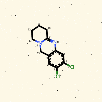 Clc1cc2c(cc1Cl)N=C1CCCCN1C2